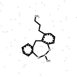 CCCCc1cccc2c1Cc1ccccc1OP(O)O2